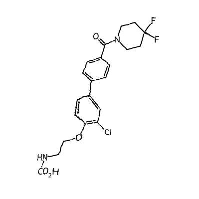 O=C(O)NCCOc1ccc(-c2ccc(C(=O)N3CCC(F)(F)CC3)cc2)cc1Cl